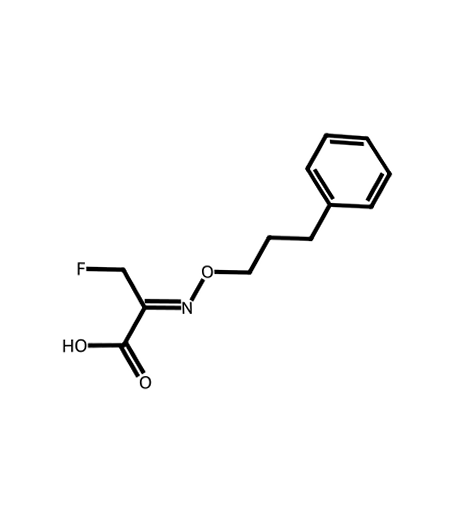 O=C(O)C(CF)=NOCCCc1ccccc1